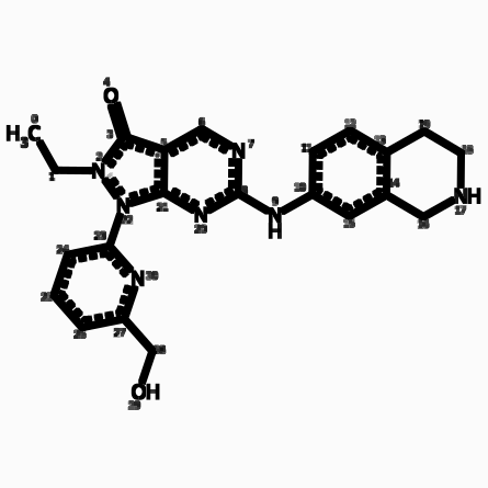 CCn1c(=O)c2cnc(Nc3ccc4c(c3)CNCC4)nc2n1-c1cccc(CO)n1